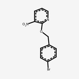 O=[N+]([O-])c1cccnc1OCc1ccc(Br)cc1